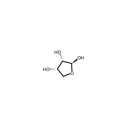 O[C@H]1[C@@H](O)CO[C@@H]1O